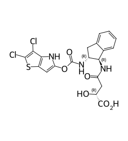 O=C(C[C@@H](O)C(=O)O)N[C@@H]1c2ccccc2C[C@H]1NC(=O)Oc1cc2sc(Cl)c(Cl)c2[nH]1